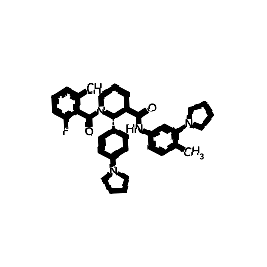 Cc1ccc(NC(=O)C2CCCN(C(=O)c3c(C)cccc3F)[C@H]2C2C=CC(N3CCCC3)=CC2)cc1N1CCCC1